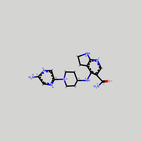 NC(=O)c1cnc2c(c1NC1CCN(c3cnc(N)cn3)CC1)CCN2